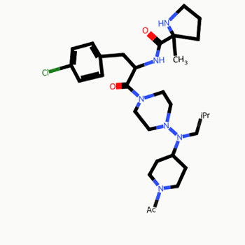 CC(=O)N1CCC(N(CC(C)C)N2CCN(C(=O)C(Cc3ccc(Cl)cc3)NC(=O)C3(C)CCCN3)CC2)CC1